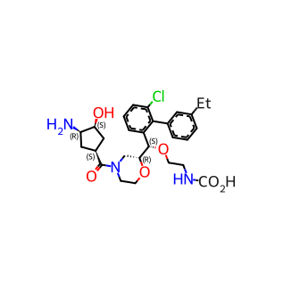 CCc1cccc(-c2c(Cl)cccc2[C@H](OCCNC(=O)O)[C@H]2CN(C(=O)[C@H]3C[C@@H](N)[C@@H](O)C3)CCO2)c1